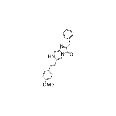 COc1ccc(C=Cc2cn3c(=O)c(Cc4ccccc4)nc-3c[nH]2)cc1